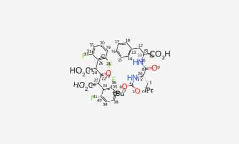 CC(C)C[C@H](NC(=O)OC(C)(C)C)C(=O)N[C@@H](Cc1ccccc1)C(=O)O.O=C(O)C(C(=O)C(C(=O)O)c1c(F)cccc1F)c1c(F)cccc1F